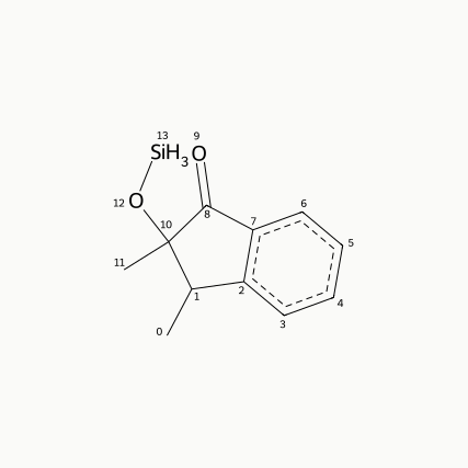 CC1c2ccccc2C(=O)C1(C)O[SiH3]